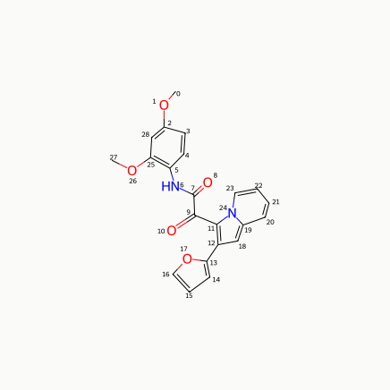 COc1ccc(NC(=O)C(=O)c2c(-c3ccco3)cc3ccccn23)c(OC)c1